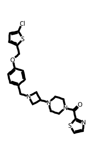 O=C(c1nccs1)N1CCN(C2CN(Cc3ccc(OCc4ccc(Cl)s4)cc3)C2)CC1